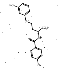 N#Cc1ccc(C(=O)NC(CCOc2cccc(C#N)c2)C(=O)O)cc1